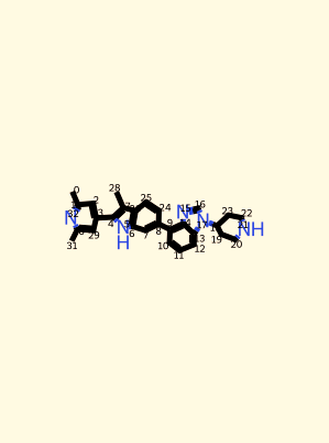 Cc1cc(-c2[nH]c3cc(-c4cccc5c4ncn5C4CCNCC4)ccc3c2C)cc(C)n1